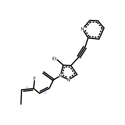 C=C(/C=C\C(F)=C/C)n1ncc(C#Cc2ccccn2)c1CC